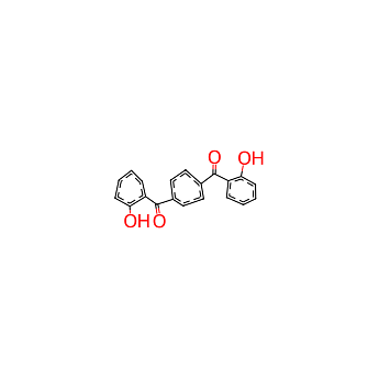 O=C(c1ccc(C(=O)c2ccccc2O)cc1)c1ccccc1O